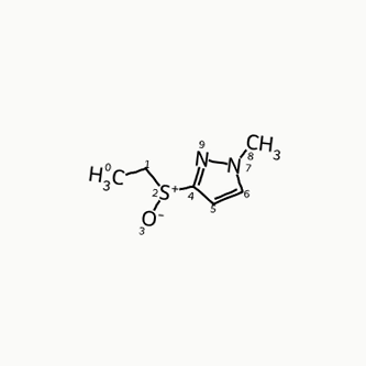 CC[S+]([O-])c1ccn(C)n1